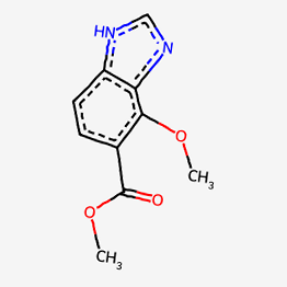 COC(=O)c1ccc2[nH]cnc2c1OC